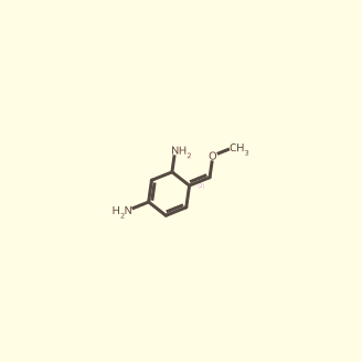 CO/C=C1/C=CC(N)=CC1N